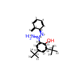 C=C1C=CC=C/C1=N/N(N)c1cc(C(C)(C)C)cc(C(C)(C)C)c1O